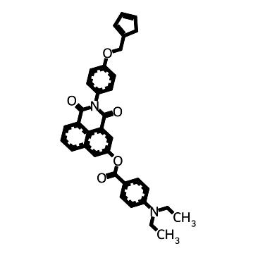 CCN(CC)c1ccc(C(=O)Oc2cc3c4c(cccc4c2)C(=O)N(c2ccc(OCC4=CC=CC4)cc2)C3=O)cc1